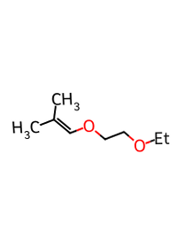 CCOCCOC=C(C)C